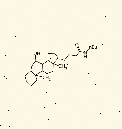 CCCCNC(=O)CCCC1CCC2C3C(O)CC4CCCCC4(C)C3CCC12C